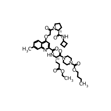 CCCCOC(=O)N1CCN(C(=O)[C@H](CCC(=O)OCC)NC(=O)c2cc(OCC(=O)N3CCC[C@H]3C(=O)NC3CCC3)c3ccc(C)cc3n2)CC1